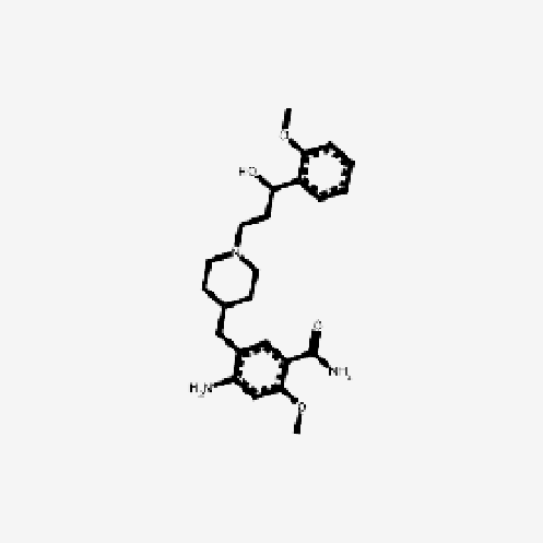 COc1cc(N)c(CC2CCN(CCC(O)c3ccccc3OC)CC2)cc1C(N)=O